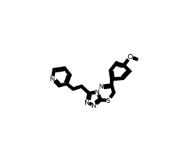 COc1ccc(C2=Nn3c(CCc4cccnc4)nnc3SC2)cc1